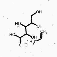 C=CC.O=CC(O)C(O)C(O)C(O)CO